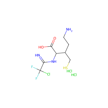 Cl.Cl.N=C(NC(C(=O)O)C(CS)CCN)C(F)(F)Cl